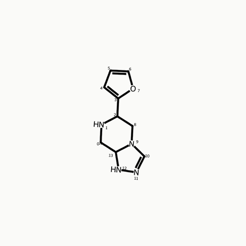 [C]1NC(c2ccco2)CN2C=NNC12